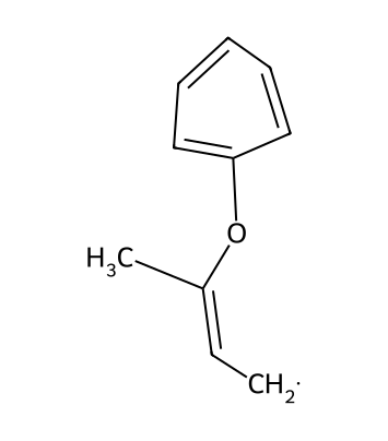 [CH2]/C=C(/C)Oc1ccccc1